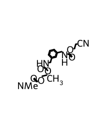 CNC(=O)OCC(C)OC(=O)NCc1cccc(CNC(=O)OCCC#N)c1